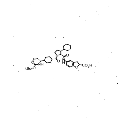 CC(C)(C)OC(=O)N[C@H](CF)[C@H]1CC[C@H](C(=O)N2CC[C@@H](C3CCCCC3)[C@H]2C(=O)Nc2ccc3c(c2)CC(C(=O)O)O3)CC1